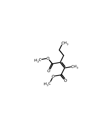 CCC/C(C(=O)OC)=C(\C)C(=O)OC